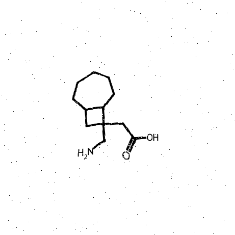 NCC1(CC(=O)O)CC2CCCCCC21